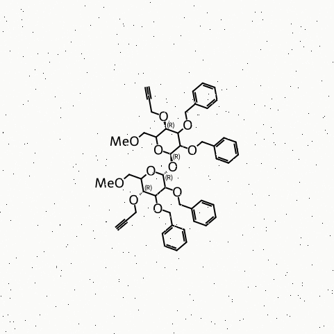 C#CCO[C@@H]1C(COC)O[C@H](O[C@H]2OC(COC)[C@@H](OCC#C)C(OCc3ccccc3)C2OCc2ccccc2)C(OCc2ccccc2)C1OCc1ccccc1